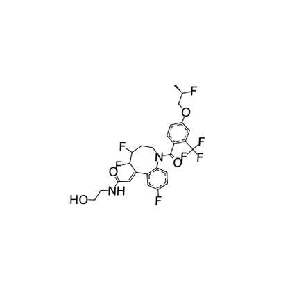 C[C@@H](F)COc1ccc(C(=O)N2CCC(F)C(F)/C(=C\C(=O)NCCO)c3cc(F)ccc32)c(C(F)(F)F)c1